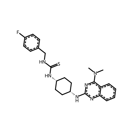 CN(C)c1nc(N[C@H]2CC[C@@H](NC(=S)NCc3ccc(F)cc3)CC2)nc2ccccc12